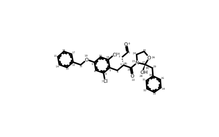 O=CC[C@@H](Cc1c(Cl)cc(OCc2ccccc2)cc1Cl)C(=O)N1CCO[C@]1(O)Cc1ccccc1